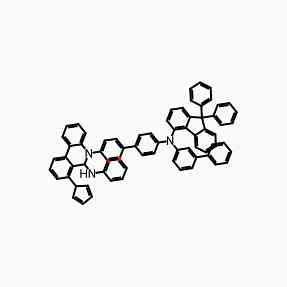 C1=CC(c2cccc3c2C(Nc2ccccc2)N(c2ccc(-c4ccc(N(c5cccc(-c6ccccc6)c5)c5cccc6c5-c5ccccc5C6(c5ccccc5)c5ccccc5)cc4)cc2)c2ccccc2-3)C=C1